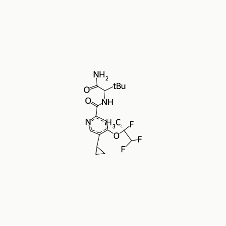 CC(C)(C)C(NC(=O)c1cc(O[C@@](C)(F)C(F)F)c(C2CC2)cn1)C(N)=O